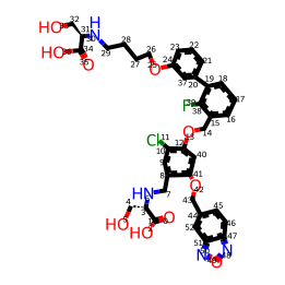 O=C(O)[C@H](CO)NCc1cc(Cl)c(OCc2cccc(-c3cccc(OCCCCN[C@H](CO)C(=O)O)c3)c2F)cc1OCc1ccc2nonc2c1